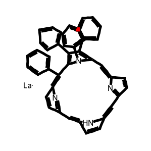 C1=Cc2cc3c(-c4ccccc4)c(-c4ccccc4)c(c(-c4ccccc4)c4nc(cc5ccc(cc1n2)[nH]5)C=C4)n3-c1ccccc1.[La]